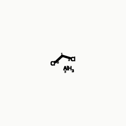 Cl[CH]Cl.[AlH3]